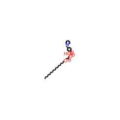 CCCCCCCCCCCCCCCCOCC(COP(=O)(O)Oc1ccc(C[n+]2ccccc2)cc1)OC